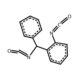 O=C=Nc1ccccc1C(N=C=O)c1ccccc1